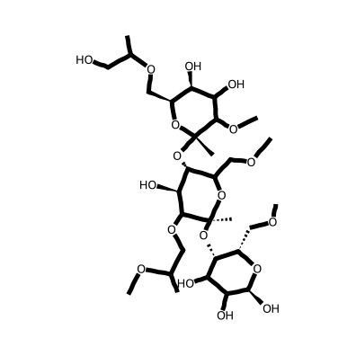 COCC1O[C@@](C)(O[C@H]2C(O)C(O)[C@H](O)O[C@H]2COC)C(OCC(C)OC)[C@@H](O)[C@@H]1O[C@]1(C)O[C@@H](COC(C)CO)[C@@H](O)C(O)C1OC